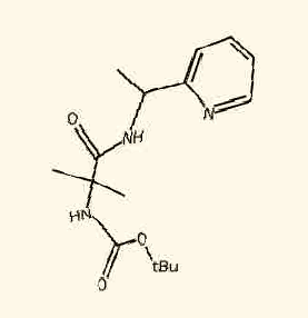 CC(NC(=O)C(C)(C)NC(=O)OC(C)(C)C)c1ccccn1